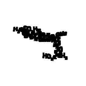 COc1cc2sc(C(=O)C[C@H](C)C(=O)O)cc2nc1OCCCOc1c(OC)cc2sc(C(=O)CC(C)(C)C(=O)O)cc2c1F